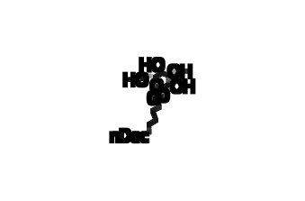 CCCCCCCCCCCCCCCC(=O)O[C@@H]1O[C@H](CO)[C@@H](O)[C@H](O)[C@H]1O